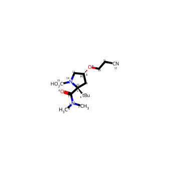 CN(C)C(=O)[C@@]1(C(C)(C)C)C[C@@H](OCCC#N)CN1C(=O)O